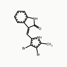 Cc1[nH]c(C=C2C(=O)Nc3ccccc32)c(Br)c1Br